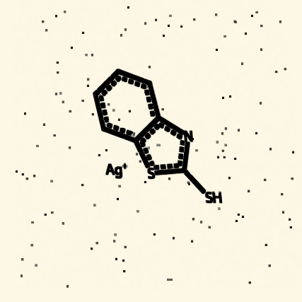 Sc1nc2ccccc2s1.[Ag+]